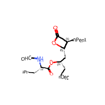 CCCCCCCCCCC[C@@H](C[C@@H]1OC(=O)[C@H]1CCCCC)OC(=O)[C@H](CC(C)C)NC=O